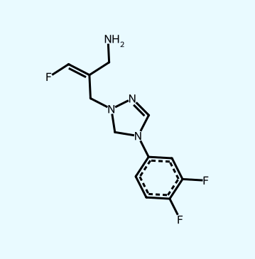 NC/C(=C/F)CN1CN(c2ccc(F)c(F)c2)C=N1